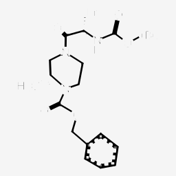 CC(C)[C@H](NC(=O)OC(C)(C)C)C(=O)N1CCN(C(=O)OCc2ccccc2)[C@H](C)C1